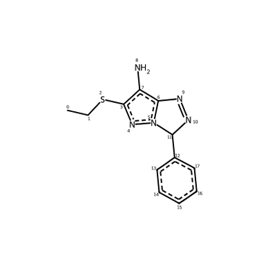 CCSc1nn2c(c1N)N=NC2c1ccccc1